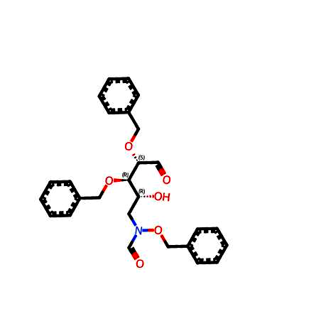 O=C[C@@H](OCc1ccccc1)[C@H](OCc1ccccc1)[C@H](O)CN(C=O)OCc1ccccc1